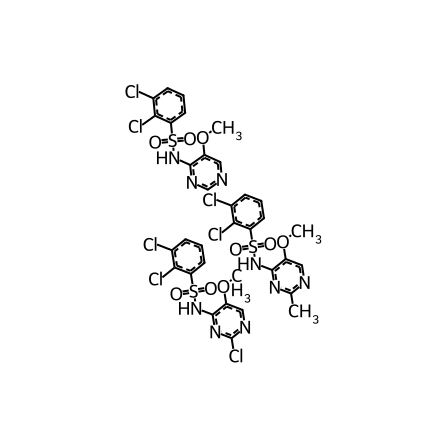 COc1cnc(C)nc1NS(=O)(=O)c1cccc(Cl)c1Cl.COc1cnc(Cl)nc1NS(=O)(=O)c1cccc(Cl)c1Cl.COc1cncnc1NS(=O)(=O)c1cccc(Cl)c1Cl